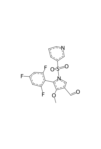 COc1c(C=O)cn(S(=O)(=O)c2cccnc2)c1-c1c(F)cc(F)cc1F